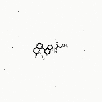 CCC(=O)N[C@H]1CCc2c(-c3cccc4c3N(C)C(=O)CC4)cncc21